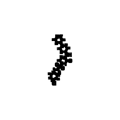 O=C1CN(S(=O)(=O)c2cc3ccc(Cl)cc3s2)CCN1NC1CCN(c2ccncc2)CC1